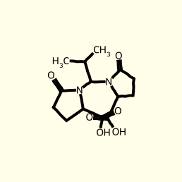 CC(C)C(N1C(=O)CCC1C(=O)O)N1C(=O)CCC1C(=O)O